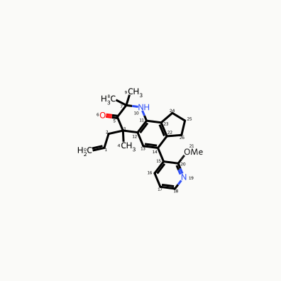 C=CCC1(C)C(=O)C(C)(C)Nc2c1cc(-c1cccnc1OC)c1c2CCC1